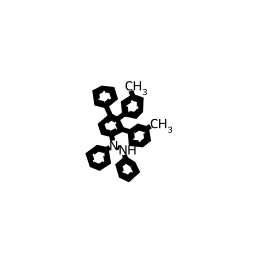 Cc1cccc(-c2c(-c3ccccc3)ccc(N(Nc3ccccc3)c3ccccc3)c2-c2cccc(C)c2)c1